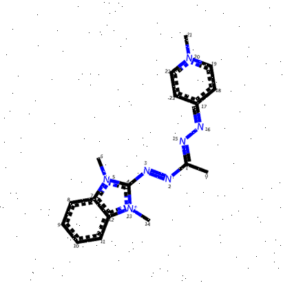 CC(N=Nc1n(C)c2ccccc2[n+]1C)=NN=c1ccn(C)cc1